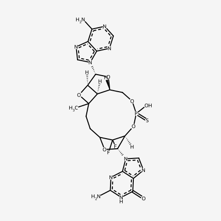 CC12CCC3O[C@@H](n4cnc5c(=O)[nH]c(N)nc54)[C@H](OP(O)(=S)OC[C@H]4O[C@@H](n5cnc6c(N)ncnc65)[C@H](O1)[C@@H]42)C3(F)F